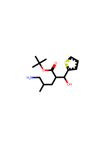 CC(CN)CC(C(=O)OC(C)(C)C)C(O)c1cccs1